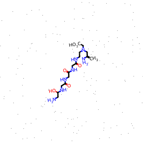 C=C(N)CN(CCNC(=O)CNC(=O)CNC(=O)CNC(O)CN)CC(=O)O